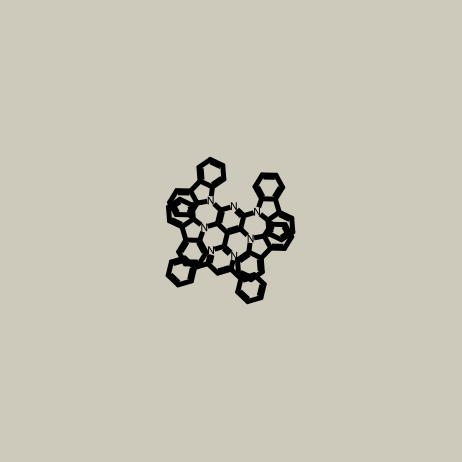 c1ccc(-c2cc(-c3ccccc3)nc(-c3c(-n4c5ccccc5c5ccccc54)c(-n4c5ccccc5c5ccccc54)nc(-n4c5ccccc5c5ccccc54)c3-n3c4ccccc4c4ccccc43)n2)cc1